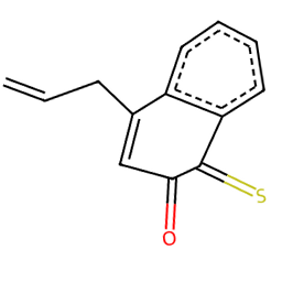 C=CCC1=CC(=O)C(=S)c2ccccc21